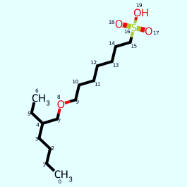 CCCCC(CC)COCCCCCCCS(=O)(=O)O